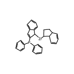 C1=CC2CC[CH]([Zr][CH]3C(P(c4ccccc4)c4ccccc4)=Cc4ccccc43)C2C=C1